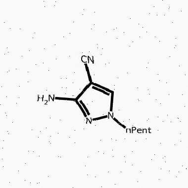 CCCCCn1cc(C#N)c(N)n1